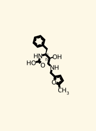 Cc1ccc(CNC[C@H](O)[C@H](Cc2ccccc2)NC(=O)O)o1